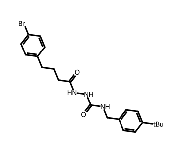 CC(C)(C)c1ccc(CNC(=O)NNC(=O)CCCc2ccc(Br)cc2)cc1